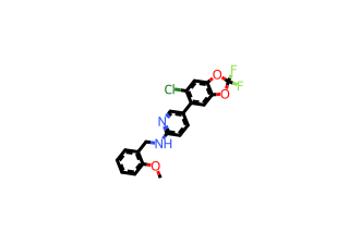 COc1ccccc1CNc1ccc(-c2cc3c(cc2Cl)OC(F)(F)O3)cn1